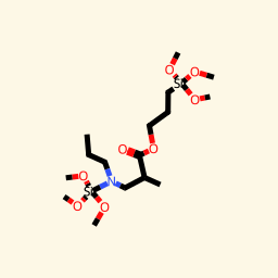 CCCN(CC(C)C(=O)OCCC[Si](OC)(OC)OC)[Si](OC)(OC)OC